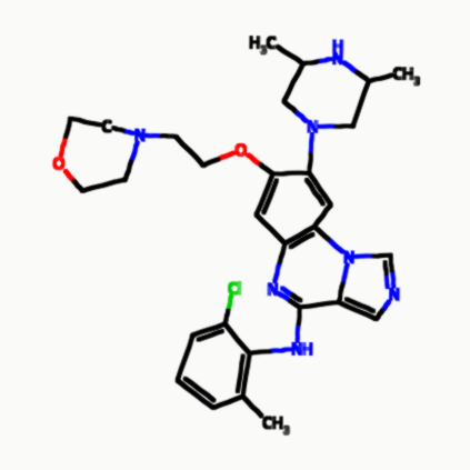 Cc1cccc(Cl)c1Nc1nc2cc(OCCN3CCOCC3)c(N3CC(C)NC(C)C3)cc2n2cncc12